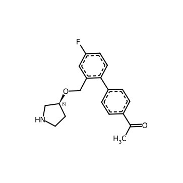 CC(=O)c1ccc(-c2ccc(F)cc2CO[C@H]2CCNC2)cc1